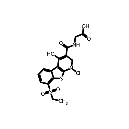 CCS(=O)(=O)c1cccc2c3c(sc12)N(Cl)CC(C(=O)NCC(=O)O)=C3O